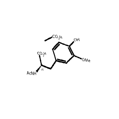 CC(=O)O.COc1cc(C[C@@H](NC(C)=O)C(=O)O)ccc1O